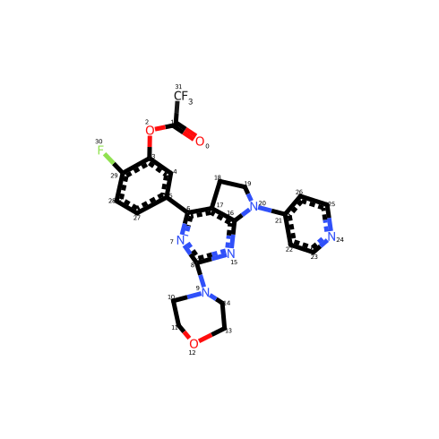 O=C(Oc1cc(-c2nc(N3CCOCC3)nc3c2CCN3c2ccncc2)ccc1F)C(F)(F)F